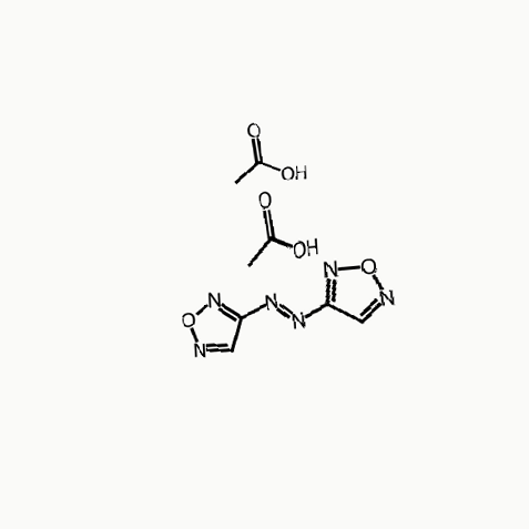 CC(=O)O.CC(=O)O.c1nonc1N=Nc1cnon1